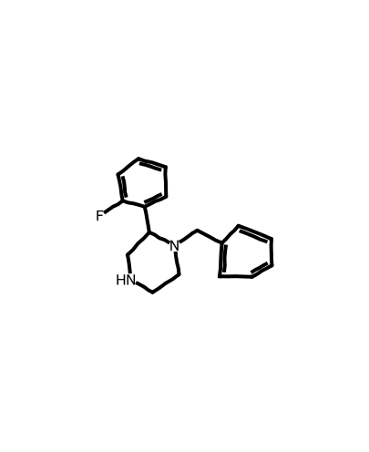 Fc1ccccc1C1CNCCN1Cc1ccccc1